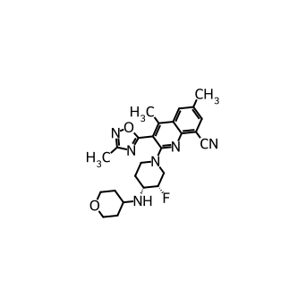 Cc1cc(C#N)c2nc(N3CC[C@@H](NC4CCOCC4)[C@@H](F)C3)c(-c3nc(C)no3)c(C)c2c1